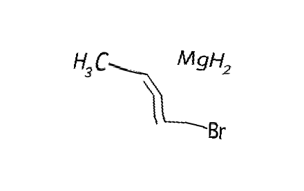 CC=CBr.[MgH2]